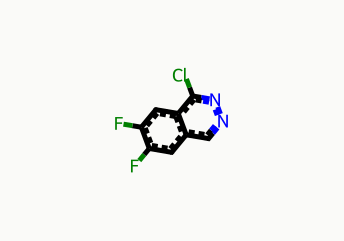 Fc1cc2cnnc(Cl)c2cc1F